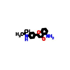 CC(C)Nc1ccc(-c2cc(=O)c3c(N)cccc3o2)cc1